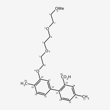 COCCOCCOCCOc1cc(-c2ccc(C)cc2C(=O)O)ccc1C